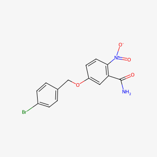 NC(=O)c1cc(OCc2ccc(Br)cc2)ccc1[N+](=O)[O-]